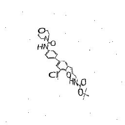 CC(C)(C)OC(=O)NCc1cc2cc(-c3ccc(NC(=O)N4CCOCC4)cc3)cc(Cl)c2o1